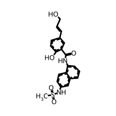 CS(=O)(=O)Nc1ccc2c(NC(=O)c3cc(/C=C/CO)ccc3O)cccc2c1